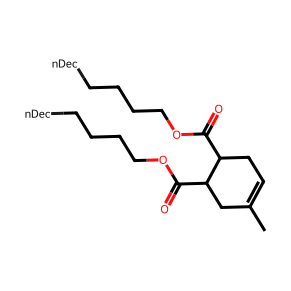 CCCCCCCCCCCCCCOC(=O)C1CC=C(C)CC1C(=O)OCCCCCCCCCCCCCC